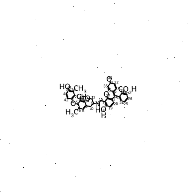 Cc1cc(Oc2c(C)cc(CC(CO)NCc3c(O)ccc4c(-c5ccccc5C(=O)O)c5ccc(=O)cc-5oc34)cc2C)ccc1O